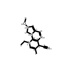 CCN1C=C(C)C(C#N)C2=C1N1CN(OC)C=C1C=N2